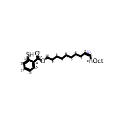 CCCCCCCC/C=C\CCCCCCCCOC(=O)c1ccccc1S